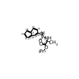 CC(C)OC(=O)[C@H](C)N[PH](=O)Oc1ccc2ccccc2c1